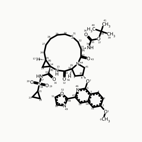 COc1ccc2c(O[C@@H]3C[C@H]4C(=O)N[C@]5(C(=O)NS(=O)(=O)C6CC6)C[C@H]5CCCCCSC[C@H](NC(=O)OC(C)(C)C)C(=O)N4C3)nc(-c3ncco3)cc2c1